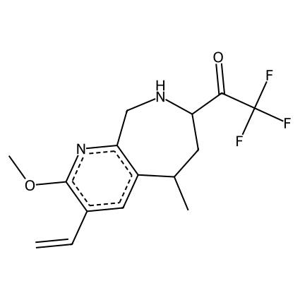 C=Cc1cc2c(nc1OC)CNC(C(=O)C(F)(F)F)CC2C